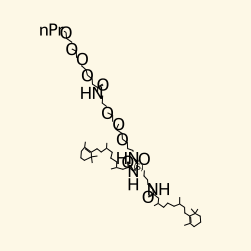 CCCOCCOCCOCCOCCC(=O)NCCCOCCOCCOCCCNC(=O)[C@H](CCCCNC(=O)CC(C)CCCC(C)CCC1=C(C)CCCC1(C)C)NC(=O)CC(C)CCCC(C)CCC1=C(C)CCCC1(C)C